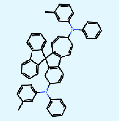 Cc1cccc(N(c2ccccc2)C2C=CC3=C(C=C2)C2(C4=C3C=CC(N(c3ccccc3)c3cccc(C)c3)C4)c3ccccc3-c3ccccc32)c1